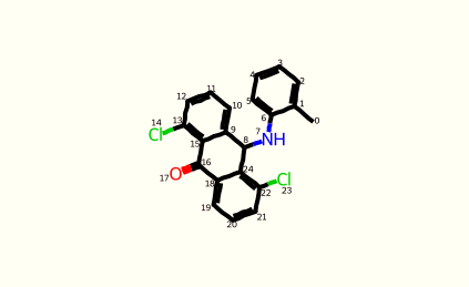 Cc1ccccc1NC1c2cccc(Cl)c2C(=O)c2cccc(Cl)c21